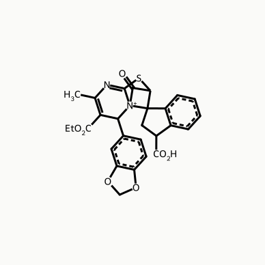 CCOC(=O)C1=C(C)N=C2SC3C(=O)[N+]2(C1c1ccc2c(c1)OCO2)C31CC(C(=O)O)c2ccccc21